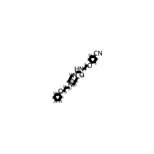 N#Cc1ccc(OCCNC(=O)CN2CC3CN(CCCOc4ccccc4)CC(C2)O3)cc1